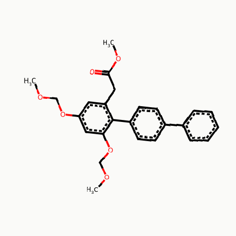 COCOc1cc(CC(=O)OC)c(-c2ccc(-c3ccccc3)cc2)c(OCOC)c1